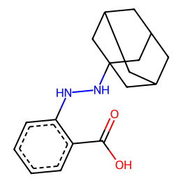 O=C(O)c1ccccc1NNC12CC3CC(CC(C3)C1)C2